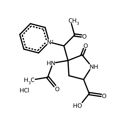 CC(=O)NC1(C(C(C)=O)[n+]2ccccc2)CC(C(=O)O)NC1=O.Cl